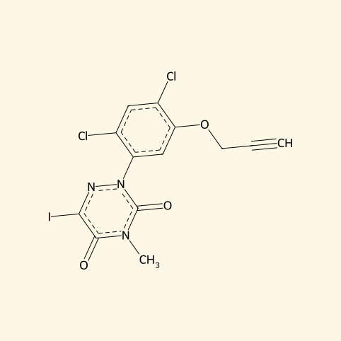 C#CCOc1cc(-n2nc(I)c(=O)n(C)c2=O)c(Cl)cc1Cl